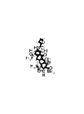 CN(C)c1cc(NC(=O)c2ccco2)c(O)c2c1CC1CC3[C@H](N(C)C)C(O)=C(C(N)=O)C(=O)C3(O)C(O)=C1C2=O